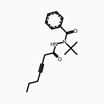 CCCC#CCC(=O)NN(C(=O)c1ccccc1)C(C)(C)C